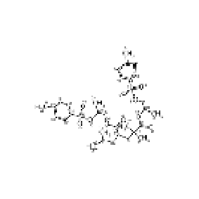 Cc1ccc(S(=O)(=O)OCC(C)OC(=O)C(C)(C)CC(CC(C)C)C(=O)OCC(C)OS(=O)(=O)c2ccc(C)cc2)cc1